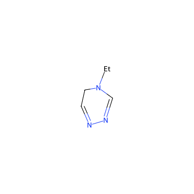 CCN1C=NN=CC1